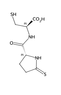 O=C(O)[C@H](CS)NC(=O)[C@H]1CCC(=S)N1